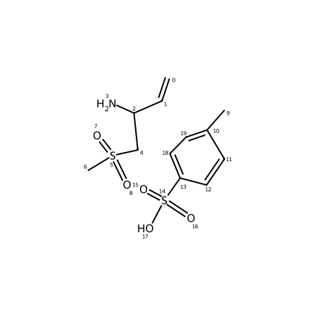 C=CC(N)CS(C)(=O)=O.Cc1ccc(S(=O)(=O)O)cc1